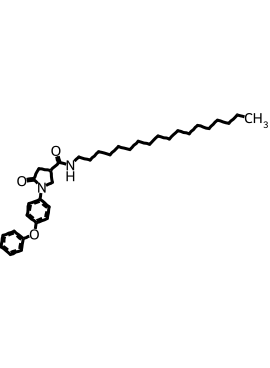 CCCCCCCCCCCCCCCCCCNC(=O)C1CC(=O)N(c2ccc(Oc3ccccc3)cc2)C1